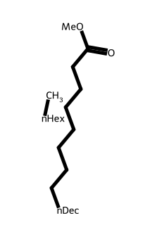 CCCCCCC.CCCCCCCCCCCCCCCCCC(=O)OC